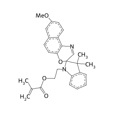 C=C(C)C(=O)OCCN1c2ccccc2C(C)(C)C12C=Nc1c(ccc3cc(OC)ccc13)O2